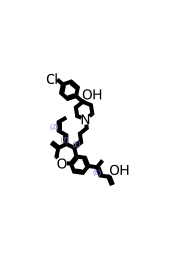 C=C(O)/C=C(\C)c1ccc2c(c1)C(=C/CCN1CCC(O)(c3ccc(Cl)cc3)CC1)/C(=C/C=C\C)C(=C)CO2